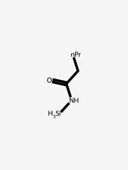 CCCCC(=O)N[SiH3]